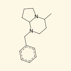 CC1CCN(Cc2ccccc2)C2CCCN12